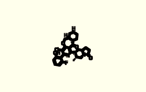 C[C@H]1CN2C(=O)CCC2CN1c1nc(-c2c(O)cccc2F)c(Cl)c2c1C(=O)N1CCNC[C@@H]1CO2